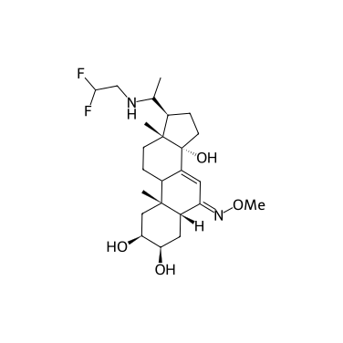 CO/N=C1\C=C2C(CC[C@]3(C)[C@@H](C(C)NCC(F)F)CC[C@@]23O)[C@@]2(C)C[C@H](O)[C@H](O)C[C@@H]12